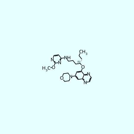 CCC[C@@H](CCCNc1ccnc(OC)n1)Oc1cc(N2CCOCC2)cc2nccnc12